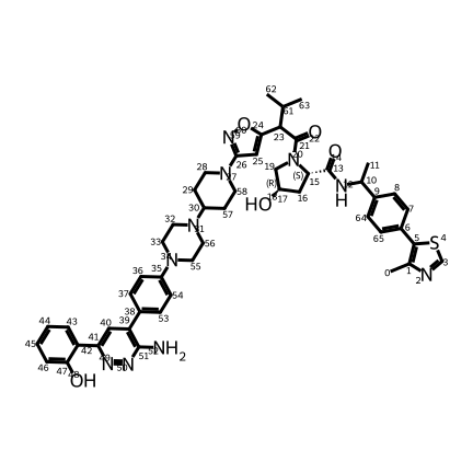 Cc1ncsc1-c1ccc(C(C)NC(=O)[C@@H]2C[C@@H](O)CN2C(=O)C(c2cc(N3CCC(N4CCN(c5ccc(-c6cc(-c7ccccc7O)nnc6N)cc5)CC4)CC3)no2)C(C)C)cc1